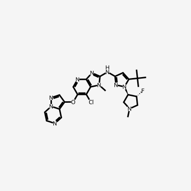 CN1C[C@@H](F)[C@H](n2nc(Nc3nc4ncc(Oc5cnn6ccncc56)c(Cl)c4n3C)cc2C(C)(C)C)C1